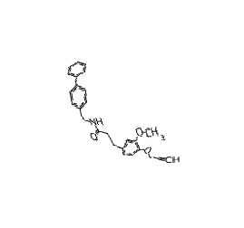 C#CCOc1ccc(CCC(=O)NCc2ccc(-c3ccccc3)cc2)cc1OC